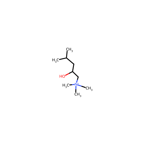 CC(C)CC(O)C[N+](C)(C)C